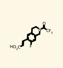 O=C(O)/C=C/c1cc2c(cc1F)CN(C(=O)C(F)(F)F)CC2